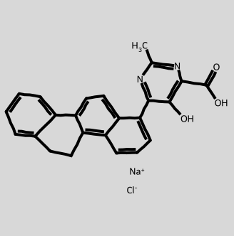 Cc1nc(C(=O)O)c(O)c(-c2cccc3c4c(ccc23)-c2ccccc2CC4)n1.[Cl-].[Na+]